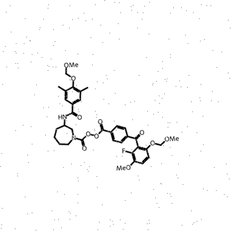 COCOc1ccc(OC)c(F)c1C(=O)c1ccc(C(=O)OOC(=O)N2CCCCC(NC(=O)c3cc(C)c(OCOC)c(C)c3)C2)cc1